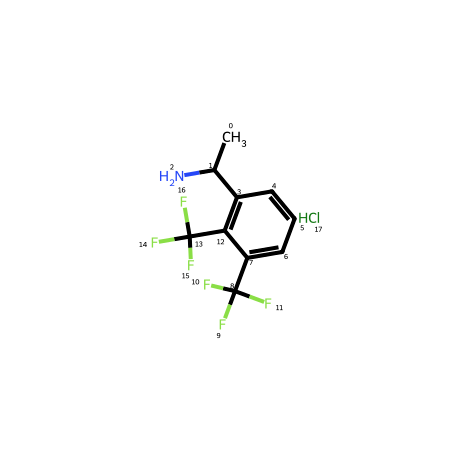 CC(N)c1cccc(C(F)(F)F)c1C(F)(F)F.Cl